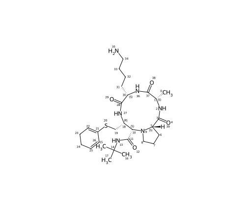 C[C@@H]1NC(=O)[C@@H]2CCCN2[C@H](C(=O)NC(C)(C)C)[C@H](CSC2=CCCC=C2)NC(=O)[C@H](CCCCN)NC1=O